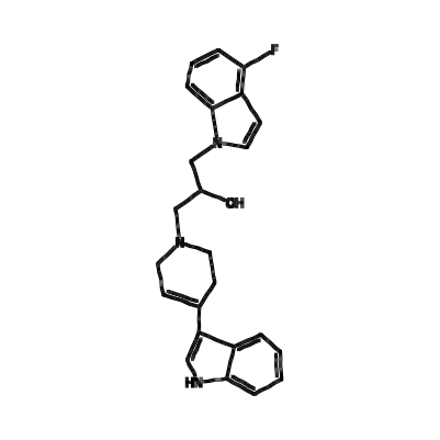 OC(CN1CC=C(c2c[nH]c3ccccc23)CC1)Cn1ccc2c(F)cccc21